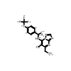 CCc1nc2ncnn2c(NC(C)c2ccc(OC(F)(F)F)cc2)c1Cl